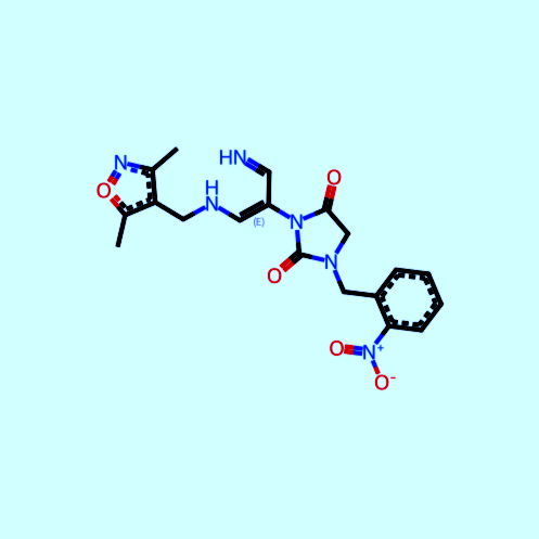 Cc1noc(C)c1CN/C=C(\C=N)N1C(=O)CN(Cc2ccccc2[N+](=O)[O-])C1=O